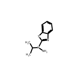 CC(C)N(N)c1nc2ccccc2s1